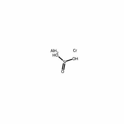 O=[Si](O)O.[AlH3].[Cr]